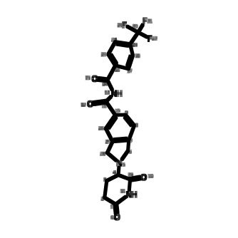 O=C1CCC(N2Cc3ccc(C(=O)NC(=O)c4ccc(C(F)(F)F)cc4)cc3C2)C(=O)N1